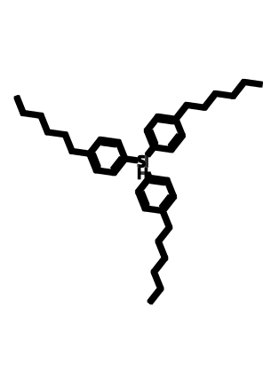 CCCCCCc1ccc([SiH](c2ccc(CCCCCC)cc2)c2ccc(CCCCCC)cc2)cc1